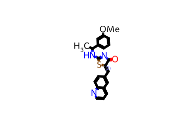 COc1cccc(C(C)NC2=NC(=O)/C(=C/c3ccc4ncccc4c3)S2)c1